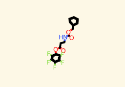 O=C(CCNC(=O)OCc1ccccc1)Oc1c(F)c(F)c(F)c(F)c1F